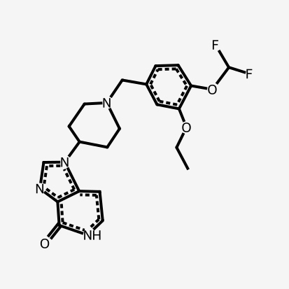 CCOc1cc(CN2CCC(n3cnc4c(=O)[nH]ccc43)CC2)ccc1OC(F)F